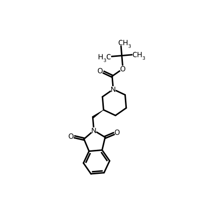 CC(C)(C)OC(=O)N1CCC[C@@H](CN2C(=O)c3ccccc3C2=O)C1